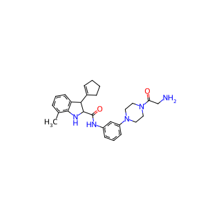 Cc1cccc2c1NC(C(=O)Nc1cccc(N3CCN(C(=O)CN)CC3)c1)C2C1=CCCC1